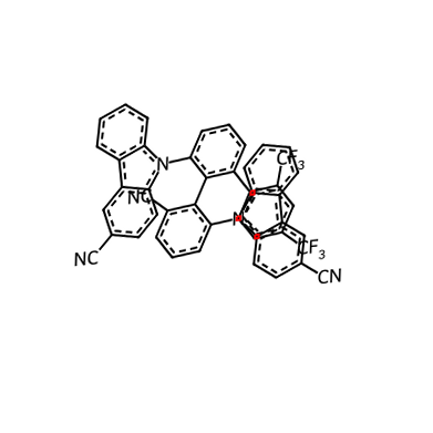 N#Cc1ccc2c(c1)c1ccccc1n2-c1cccc(C#N)c1-c1c(-c2ccc(C(F)(F)F)cc2C(F)(F)F)cccc1-n1c2ccccc2c2cc(C#N)ccc21